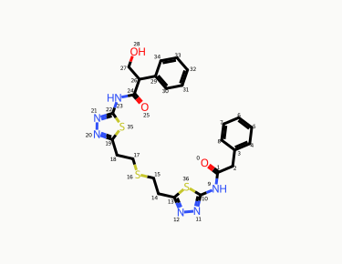 O=C(Cc1ccccc1)Nc1nnc(CCSCCc2nnc(NC(=O)C(CO)c3ccccc3)s2)s1